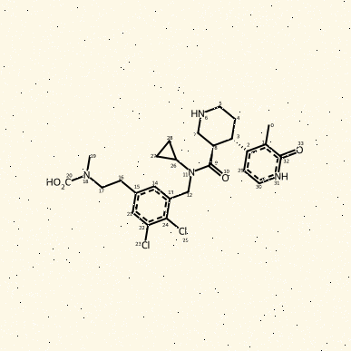 Cc1c([C@H]2CCNC[C@@H]2C(=O)N(Cc2cc(CCN(C)C(=O)O)cc(Cl)c2Cl)C2CC2)cc[nH]c1=O